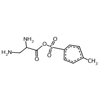 Cc1ccc(S(=O)(=O)OC(=O)C(N)CN)cc1